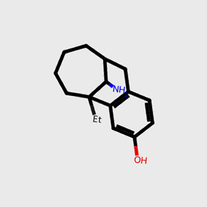 CCC12CCCCC(Cc3ccc(O)cc31)C2N